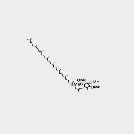 COc1c(C)c(C/C=C(\C)CC/C=C(\C)CC/C=C(\C)CC/C=C(\C)CC/C=C(\C)CC/C=C(\C)CC/C=C(\C)CC/C=C(\C)CCC=C(C)C)c(OC)c(OC)c1OC